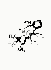 CN(C)c1ccccc1C(C)(C)N(C)CCN(C)C(C)(C)C